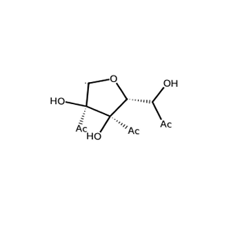 CC(=O)C(O)[C@H]1O[CH][C@@](O)(C(C)=O)[C@@]1(O)C(C)=O